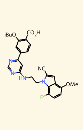 COc1ccc(F)c2c1cc(C#N)n2CCNc1cc(-c2ccc(C(=O)O)c(OCC(C)C)c2)ncn1